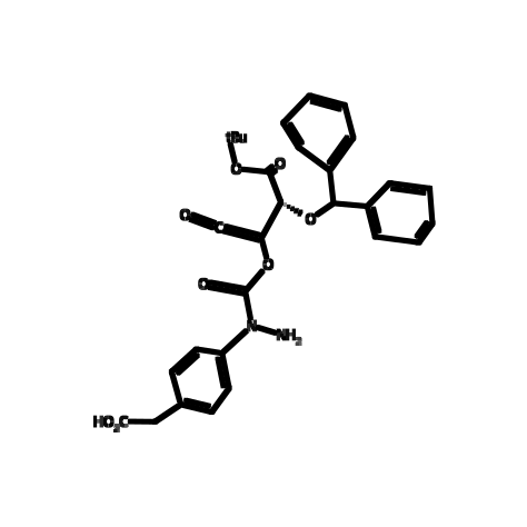 CC(C)(C)OC(=O)[C@H](OC(c1ccccc1)c1ccccc1)C(=C=O)OC(=O)N(N)c1ccc(CC(=O)O)cc1